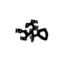 O=C(O)N[C@H](C(O)CO)[C@H](F)c1ccccc1